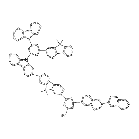 CC(C)c1cc(-c2ccc3c(c2)C(C)(C)c2cc(-c4ccc5c6ccccc6n(-c6cc(-c7ccc8c(c7)C(C)(C)c7ccccc7-8)cc(-n7c8ccccc8c8ccccc87)c6)c5c4)ccc2-3)cc(-c2ccc3cc(-c4ccc5ccccc5c4)ccc3c2)c1